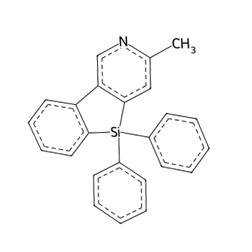 Cc1cc2c(cn1)-c1ccccc1[Si]2(c1ccccc1)c1ccccc1